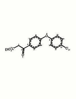 CCOC(=O)CC(=O)c1ccc(Oc2ccc(Cl)cc2)cc1